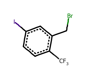 FC(F)(F)c1ccc(I)cc1CBr